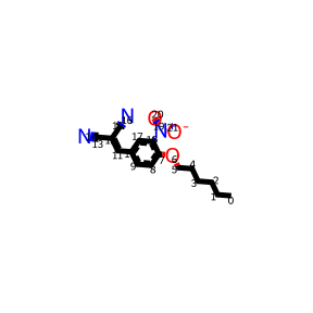 CCCCCCOc1ccc(C=C(C#N)C#N)cc1[N+](=O)[O-]